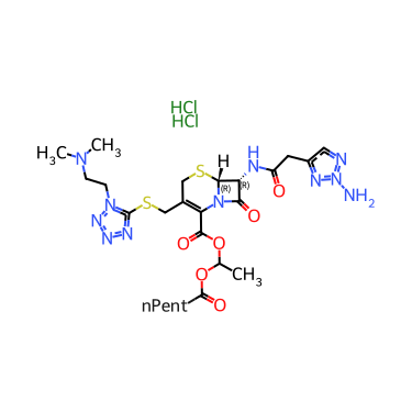 CCCCCC(=O)OC(C)OC(=O)C1=C(CSc2nnnn2CCN(C)C)CS[C@@H]2[C@H](NC(=O)Cc3cnn(N)n3)C(=O)N12.Cl.Cl